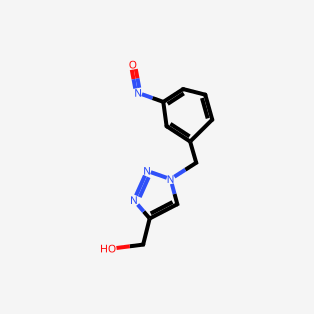 O=Nc1cccc(Cn2cc(CO)nn2)c1